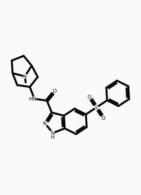 CN1C2CCC1CC(NC(=O)c1n[nH]c3ccc(S(=O)(=O)c4ccccc4)cc13)C2